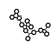 c1ccc(N(c2ccc(-c3ccc4c(c3)c3ccccc3n4-c3ccccc3)cc2)c2ccc3c(c2)C2(c4ccccc4-c4ccccc42)c2cc(-c4cnc5c6ccccc6c6ccccc6c5n4)ccc2-3)cc1